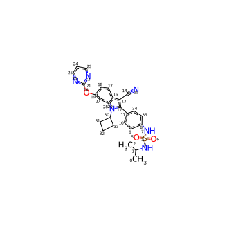 CC(C)NS(=O)(=O)Nc1ccc(-c2c(C#N)c3ccc(Oc4ncccn4)cc3n2C2CCC2)cc1